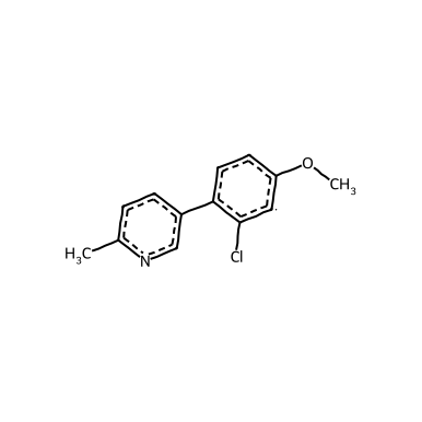 COc1[c]c(Cl)c(-c2ccc(C)nc2)cc1